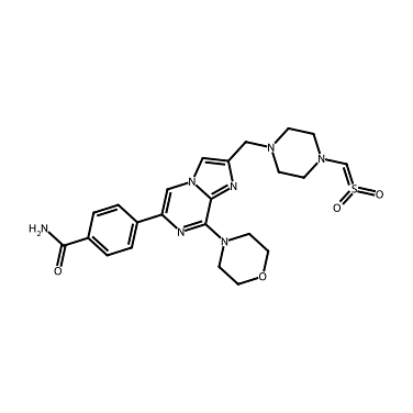 NC(=O)c1ccc(-c2cn3cc(CN4CCN(C=S(=O)=O)CC4)nc3c(N3CCOCC3)n2)cc1